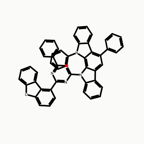 c1ccc(-c2nc(-c3cccc4oc5ccccc5c34)nc(-n3c4ccccc4c4cc(-c5ccccc5)c5c6ccccc6n(-c6ccccc6)c5c43)n2)cc1